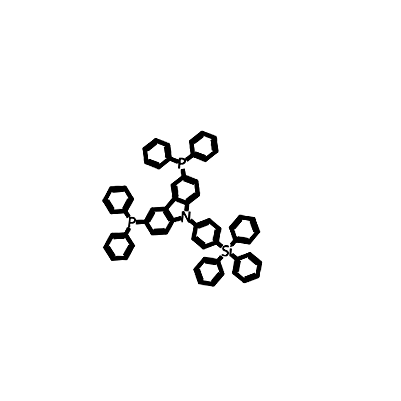 c1ccc(P(c2ccccc2)c2ccc3c(c2)c2cc(P(c4ccccc4)c4ccccc4)ccc2n3-c2ccc([Si](c3ccccc3)(c3ccccc3)c3ccccc3)cc2)cc1